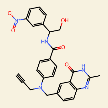 C#CCN(Cc1ccc2nc(C)[nH]c(=O)c2c1)c1ccc(C(=O)NC(CO)c2cccc([N+](=O)[O-])c2)cc1